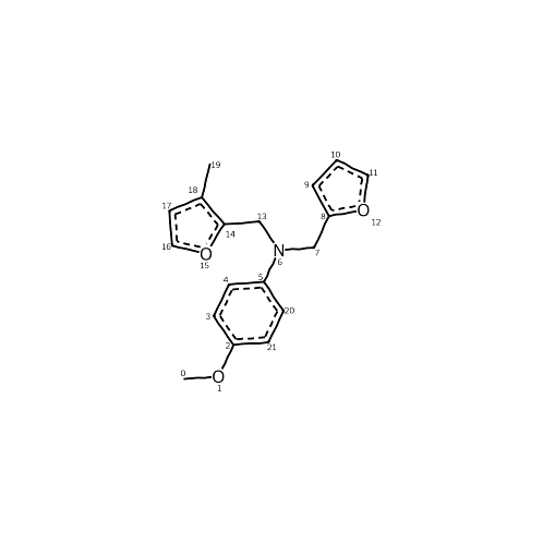 COc1ccc(N(Cc2ccco2)Cc2occc2C)cc1